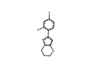 Fc1ccc(-c2cc3n(n2)CCCO3)c(F)c1